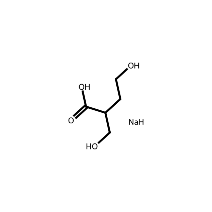 O=C(O)C(CO)CCO.[NaH]